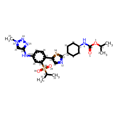 CC(C)OC(=O)N[C@H]1CC[C@H](c2ncc(-c3ccc(Nc4cn(C)nn4)cc3S(=O)(=O)C(C)C)s2)CC1